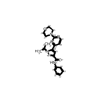 C=C(C)n1nc(C(=O)Nc2ccccc2)cc1-c1ccnc(N2CCOCC2)n1